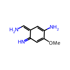 COC1=CC(=N)/C(=C\N)C=C1N